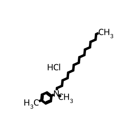 CCCCCCCCCCCCCCCCN(C)c1ccc(C)cc1.Cl